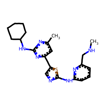 CNCc1cccc(Nc2ncc(-c3cc(C)nc(NC4CCCCC4)n3)s2)n1